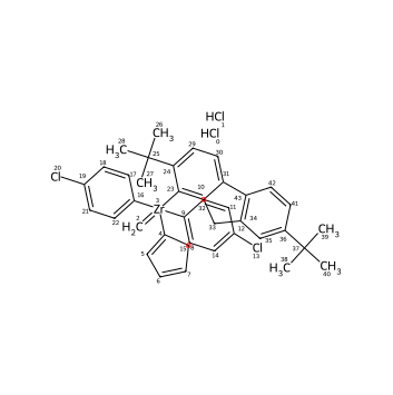 Cl.Cl.[CH2]=[Zr]([C]1=CC=CC1)([c]1ccc(Cl)cc1)([c]1ccc(Cl)cc1)[c]1c(C(C)(C)C)ccc2c1Cc1cc(C(C)(C)C)ccc1-2